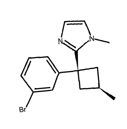 Cn1ccnc1[C@]1(c2cccc(Br)c2)C[C@H](C)C1